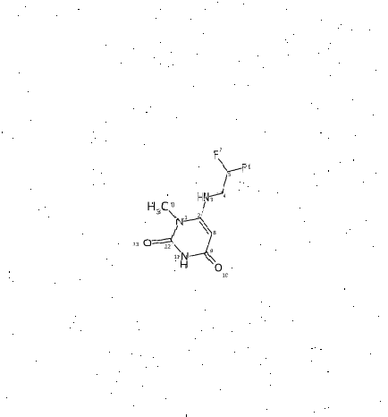 Cn1c(NCC(F)F)cc(=O)[nH]c1=O